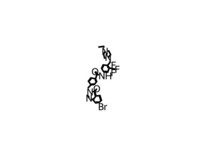 CCN1CCN(Cc2ccc(NC(=O)c3ccc(C)c(Oc4ncnc5cc(Br)ccc45)c3)cc2C(F)(F)F)CC1